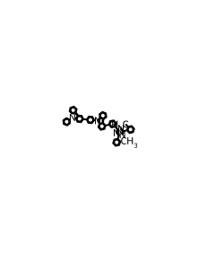 Cc1ccccc1-c1nc(-c2cccc(-c3cccc4c3c3ccccc3n4-c3ccc(-c4ccc5c(c4)c4ccccc4n5-c4ccccc4)cc3)c2)nc(-c2ccccc2C)n1